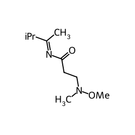 CON(C)CCC(=O)/N=C(\C)C(C)C